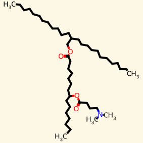 CCCCCCCCCCCCC(CCCCCCCCCCCC)COC(=O)CCCCCCC(CCCCCCC)OC(=O)CCCN(C)C